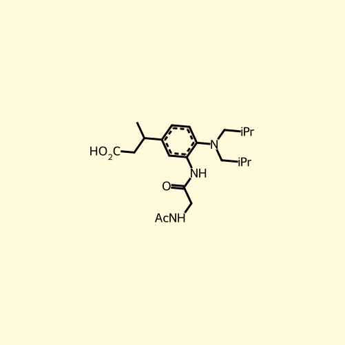 CC(=O)NCC(=O)Nc1cc(C(C)CC(=O)O)ccc1N(CC(C)C)CC(C)C